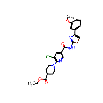 CCOC(=O)C1CCN(c2ncc(C(=O)Nc3nc(-c4cccc(OC)c4)cs3)cc2Cl)CC1